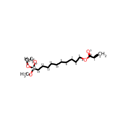 C=CC(=O)OCCCCCCCCCC[Si](OC)(OC)OC